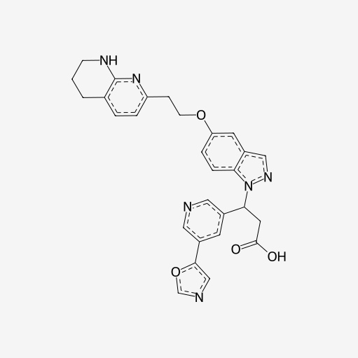 O=C(O)CC(c1cncc(-c2cnco2)c1)n1ncc2cc(OCCc3ccc4c(n3)NCCC4)ccc21